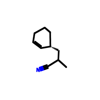 CC(C#N)C[C@@H]1C=CCCC1